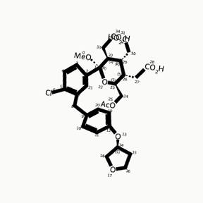 CO[C@@]1(c2ccc(Cl)c(Cc3ccc(O[C@H]4CCOC4)cc3)c2)O[C@H](COC(C)=O)[C@@H](CC(=O)O)[C@@H](CC(=O)O)[C@@H]1CC(=O)O